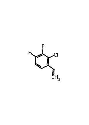 C=Cc1ccc(F)c(F)c1Cl